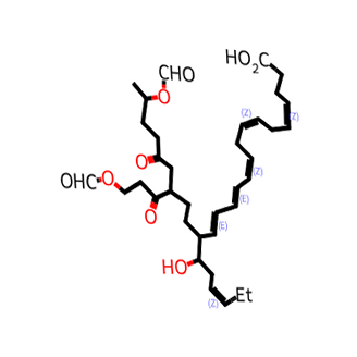 CC/C=C\CC(O)C(/C=C/C=C/C=C\C/C=C\C/C=C\CCC(=O)O)CCC(CC(=O)CCC(C)OC=O)C(=O)CCOC=O